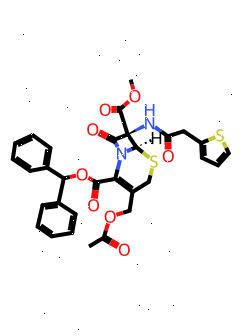 COC(=O)[C@@]1(NC(=O)Cc2cccs2)C(=O)N2C(C(=O)OC(c3ccccc3)c3ccccc3)=C(COC(C)=O)CS[C@@H]21